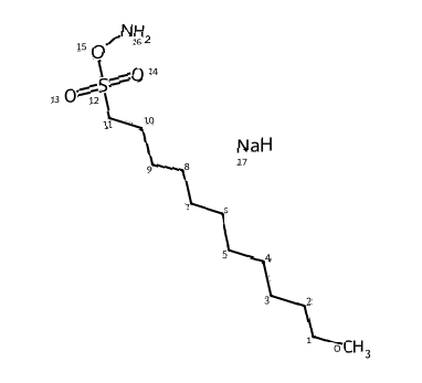 CCCCCCCCCCCCS(=O)(=O)ON.[NaH]